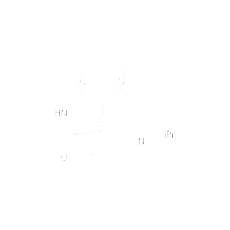 Cc1cccc2c1C1(CCCN(C(C)C)C1)C(=O)N2